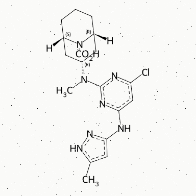 Cc1cc(Nc2cc(Cl)nc(N(C)[C@H]3C[C@H]4CCC[C@@H](C3)N4C(=O)O)n2)n[nH]1